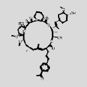 CO[C@H]1C[C@@H](C)C/C(C)=C/C(C/C=C/c2ccc(C(C)=O)cc2)C(=O)C[C@H](O)[C@@H](C)[C@@H](/C(C)=C/[C@@H]2CC[C@@H](O)[C@H](OC)C2)OC(=O)[C@@H]2CCCCN2C(=O)C(=O)[C@]2(O)O[C@H]1[C@@H](OC)C[C@H]2C